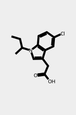 CCC(C)n1cc(CC(=O)O)c2cc(Cl)ccc21